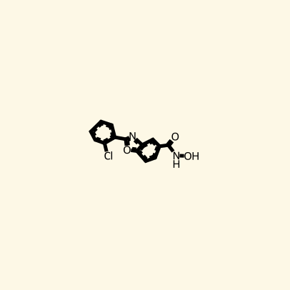 O=C(NO)c1ccc2oc(-c3ccccc3Cl)nc2c1